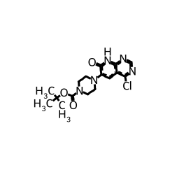 CC(C)(C)OC(=O)N1CCN(c2cc3c(Cl)ncnc3[nH]c2=O)CC1